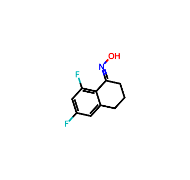 ON=C1CCCc2cc(F)cc(F)c21